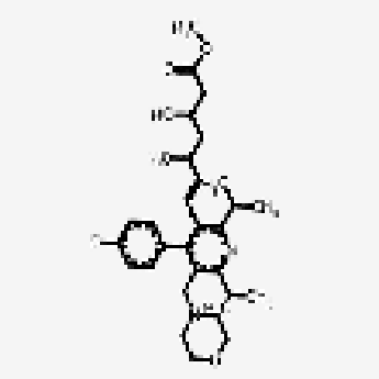 COC(=O)CC(O)CC(O)C=Cc1c(C(C)C)nc(C(C)C)c(CN2CCOCC2)c1-c1ccc(F)cc1